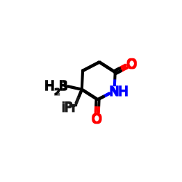 BC1(C(C)C)CCC(=O)NC1=O